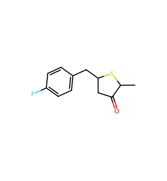 CC1SC(Cc2ccc(F)cc2)CC1=O